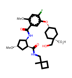 COc1cc(F)c(O[C@H]2CC[C@@](CO)(C(=O)O)CC2)cc1C(=O)N[C@@H]1C[C@@H](OC)C[C@@H]1C(=O)NCC1(C)CCC1